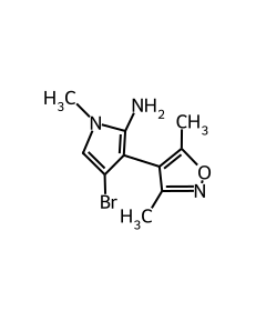 Cc1noc(C)c1-c1c(Br)cn(C)c1N